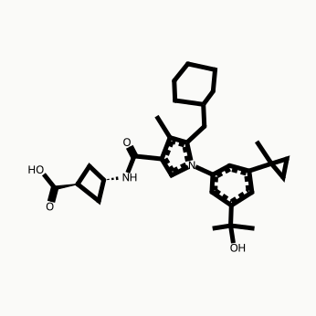 Cc1c(C(=O)N[C@H]2C[C@H](C(=O)O)C2)cn(-c2cc(C(C)(C)O)cc(C3(C)CC3)c2)c1CC1CCCCC1